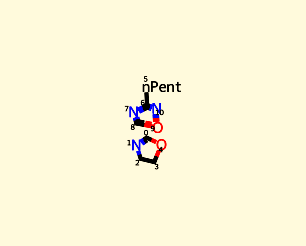 C1=NCCO1.CCCCCc1ncon1